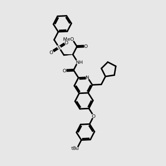 COC(=O)[C@H](CS(=O)(=O)Cc1ccccc1)NC(=O)c1cc2ccc(Oc3ccc(C(C)(C)C)cc3)cc2c(CC2CCCC2)n1